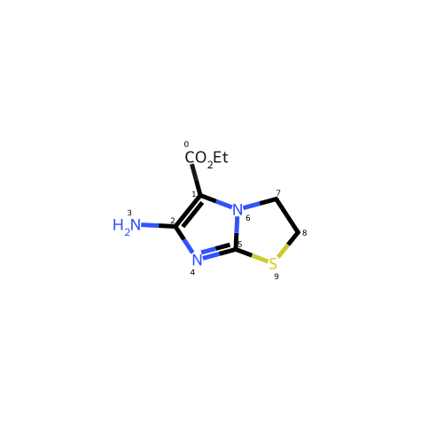 CCOC(=O)c1c(N)nc2n1CCS2